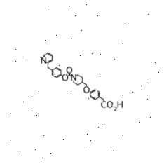 O=C(O)Cc1ccc(OCC2CCN(C(=O)Oc3ccc(Cc4ccccn4)cc3)CC2)cc1